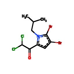 CC(C)Cn1c(C(=O)C(Cl)Cl)cc(Br)c1Br